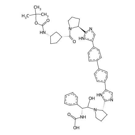 CC(C)(C)OC(=O)N[C@H]1CC[C@@H](C(=O)N2CCC[C@H]2c2ncc(-c3ccc(-c4ccc(-c5cnc([C@@H]6CCCN6C(O)[C@H](NC(=O)O)c6ccccc6)[nH]5)cc4)cc3)[nH]2)C1